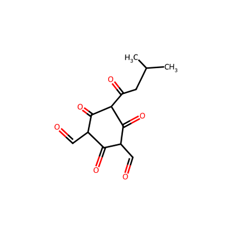 CC(C)CC(=O)C1C(=O)C(C=O)C(=O)C(C=O)C1=O